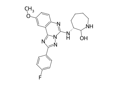 COc1ccc2nc(N[C@@H]3CCCCNC3O)n3nc(-c4ccc(F)cc4)nc3c2c1